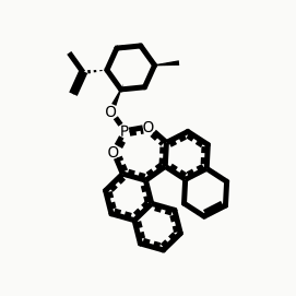 C=C(C)[C@@H]1CC[C@@H](C)C[C@H]1Op1oc2ccc3c(c2c2c(ccc4ccccc42)o1)CC=CC3